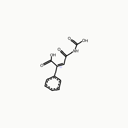 O=C(O)NC(=O)/C=C(\C(=O)O)c1ccccc1